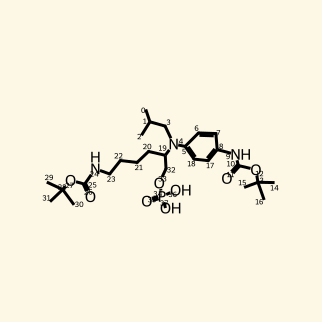 CC(C)CN(c1ccc(NC(=O)OC(C)(C)C)cc1)C(CCCCNC(=O)OC(C)(C)C)COP(=O)(O)O